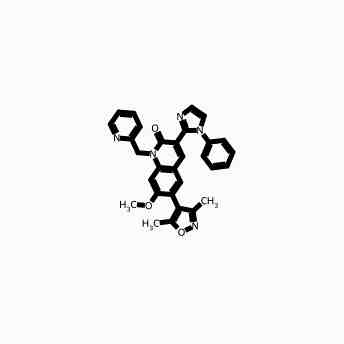 COc1cc2c(cc1-c1c(C)noc1C)cc(-c1nccn1-c1ccccc1)c(=O)n2Cc1ccccn1